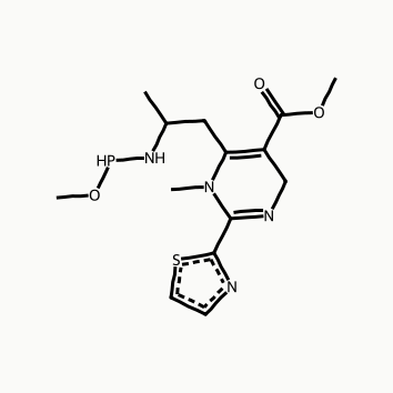 COPNC(C)CC1=C(C(=O)OC)CN=C(c2nccs2)N1C